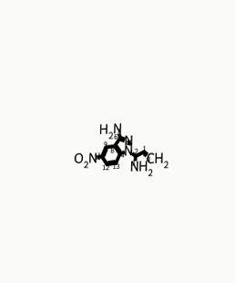 C=CC(N)n1nc(N)c2cc([N+](=O)[O-])ccc21